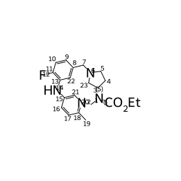 CCOC(=O)N(C)[C@H]1CCN(Cc2ccc(F)c(Nc3ccc(C)nc3)c2)C1